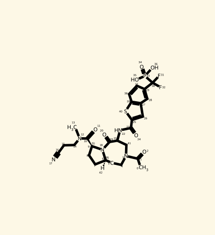 CC(=O)N1CC[C@H]2CC[C@@H](C(=O)N(C)CCC#N)N2C(=O)C(NC(=O)c2cc3cc(C(F)(F)P(=O)(O)O)ccc3s2)C1